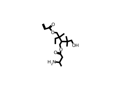 C=CC(=O)OCC(C)(CC)C(COC(=O)CC(C)N)C(C)(C)CO